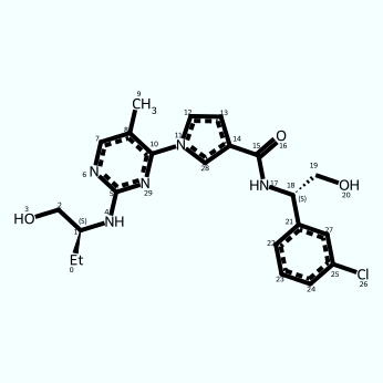 CC[C@@H](CO)Nc1ncc(C)c(-n2ccc(C(=O)N[C@H](CO)c3cccc(Cl)c3)c2)n1